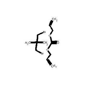 C=CCOC(=O)OCC=C.CC(C)(CBr)CBr